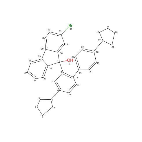 OC1(c2cc(C3CCCC3)ccc2-c2ccc(C3CCCC3)cc2)c2ccccc2-c2ccc(Br)cc21